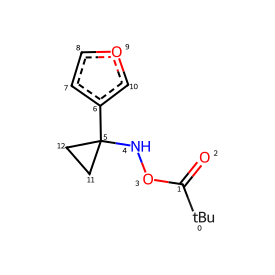 CC(C)(C)C(=O)ONC1(c2ccoc2)CC1